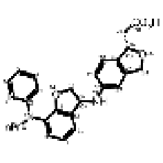 CCCN(c1ccccn1)c1cccc2c1OC[C@H]2Nc1ccc2c(c1)CO[C@H]2CC(=O)O